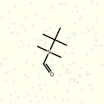 CC(C)(C)[Si](C)(C)[C]=O